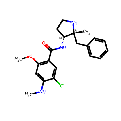 CNc1cc(OC)c(C(=O)N[C@@H]2CCN[C@]2(C)Cc2ccccc2)cc1Cl